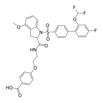 COc1cccc2c1CC(C(=O)NCCOc1ccc(C(=O)O)cc1)N2S(=O)(=O)c1ccc(-c2ccc(F)cc2OC(F)F)cc1